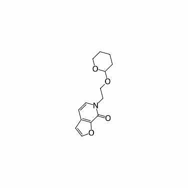 O=c1c2occc2ccn1CCOC1CCCCO1